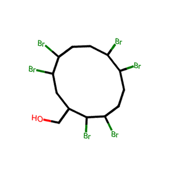 OCC1CC(Br)C(Br)CCC(Br)C(Br)CCC(Br)C1Br